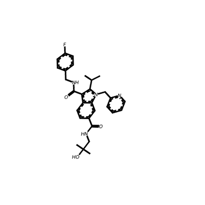 CC(C)c1c(C(=O)NCc2ccc(F)cc2)c2ccc(C(=O)NCC(C)(C)O)cc2n1Cc1ccccn1